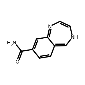 NC(=O)c1ccc2c(c1)=NC=CNC=2